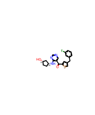 O=C(c1cc(Cc2cccc(F)c2)cs1)c1cncnc1N[C@@H]1C[CH][C@H](O)C1